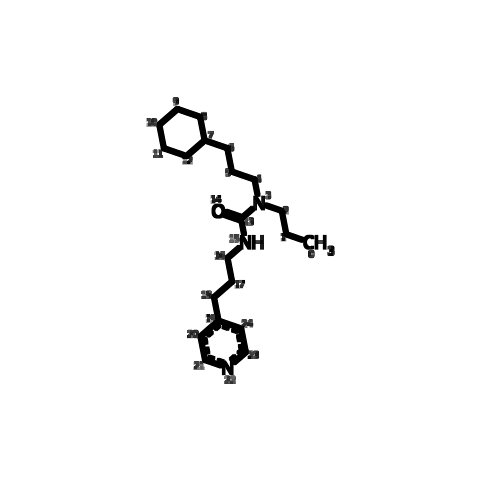 CCCN(CCCC1CCCCC1)C(=O)NCCCc1ccncc1